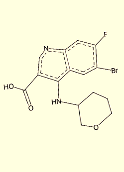 O=C(O)c1cnc2cc(F)c(Br)cc2c1NC1CCCOC1